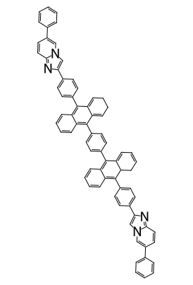 C1=CCC2C(=C1)C(c1ccc(-c3c4c(c(-c5ccc(-c6cn7cc(-c8ccccc8)ccc7n6)cc5)c5ccccc35)=CCCC=4)cc1)=c1ccccc1=C2c1ccc(-c2cn3cc(-c4ccccc4)ccc3n2)cc1